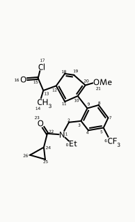 CCN(Cc1cc(C(F)(F)F)ccc1-c1cc(C(C)C(=O)Cl)ccc1OC)C(=O)C1CC1